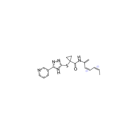 C=C(/C=C\C=C/C)NC(=O)C1(Sc2nnc(-c3cccnc3)[nH]2)CC1